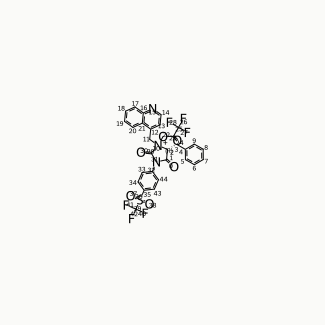 O=C1[C@@H](Cc2ccccc2)[N+](Cc2ccnc3ccccc23)(OC(=O)C(F)(F)F)C(=O)N1c1ccc(S(=O)(=O)C(F)(F)F)cc1